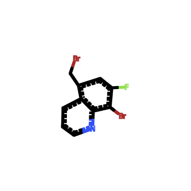 Fc1cc(CBr)c2cccnc2c1Br